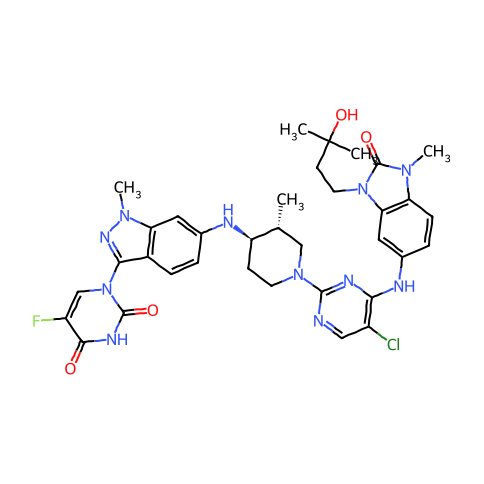 C[C@@H]1CN(c2ncc(Cl)c(Nc3ccc4c(c3)n(CCC(C)(C)O)c(=O)n4C)n2)CC[C@H]1Nc1ccc2c(-n3cc(F)c(=O)[nH]c3=O)nn(C)c2c1